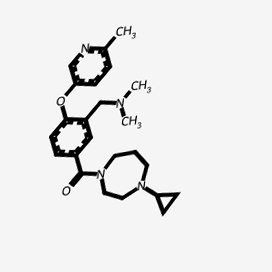 Cc1ccc(Oc2ccc(C(=O)N3CCCN(C4CC4)CC3)cc2CN(C)C)cn1